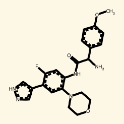 COc1ccc(C(N)C(=O)Nc2cc(F)c(-c3cn[nH]c3)cc2N2CCOCC2)cc1